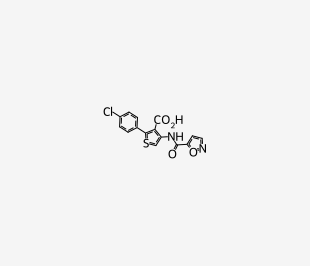 O=C(Nc1csc(-c2ccc(Cl)cc2)c1C(=O)O)c1ccno1